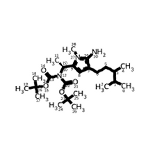 CC(C)C(C)CCc1cc([C@H](C)N(C(=O)OC(C)(C)C)C(=O)OC(C)(C)C)n(C)c1N